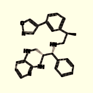 C[C@@H](CN[C@H](c1ccccc1)[C@H]1CNc2cccnc2N1)c1cccc(-c2cnoc2)c1